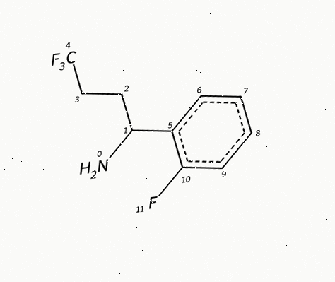 NC(CCC(F)(F)F)c1ccccc1F